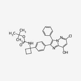 CC(C)(C)OC(=O)NC1(c2ccc(-c3nc4c(O)cc(Cl)nn4c3-c3ccccc3)cc2)CCC1